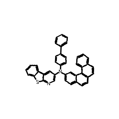 c1ccc(-c2ccc(N(c3cnc4sc5ccccc5c4c3)c3ccc4ccc5ccc6ccccc6c5c4c3)cc2)cc1